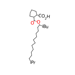 CCC(C)C(CCCCCCCCCCCC(C)C)OC(=O)C1CCCCC1C(=O)O